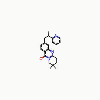 CC(Cc1ccc2c(=O)n3c(nc2c1)CCC(C)(C)C3)c1ccccn1